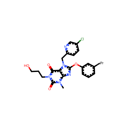 CC(C)c1cccc(Oc2nc3c(c(=O)n(CCCO)c(=O)n3C)n2Cc2ccc(Cl)cn2)c1